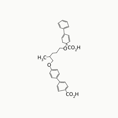 CC(CCCOC1(C(=O)O)C=CC(c2ccccc2)=CC1)COc1ccc(-c2ccc(C(=O)O)cc2)cc1